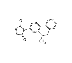 CC(Cc1ccccc1)c1cccc(N2C(=O)C=CC2=O)c1